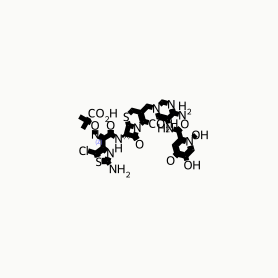 CC(C)(O/N=C(\C(=O)N[C@@H]1C(=O)N2C(C(=O)O)=C(CN3C=C(NC(=O)c4cc(=O)c(O)cn4O)C(N)=NC3)CSC12)c1nc(N)sc1Cl)C(=O)O